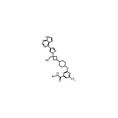 CC(C)NC(=O)c1cc(OC2CCC(N3CC(CC#N)(n4cc(-c5ncnc6[nH]ccc56)cn4)C3)CC2)nc(C(F)(F)F)c1